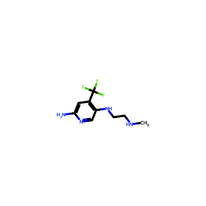 CNCCNc1cnc(N)cc1C(F)(F)F